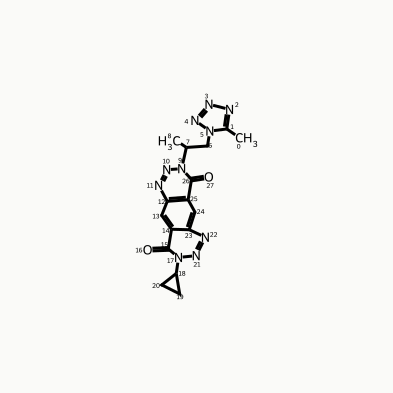 Cc1nnnn1CC(C)n1nnc2cc3c(=O)n(C4CC4)nnc3cc2c1=O